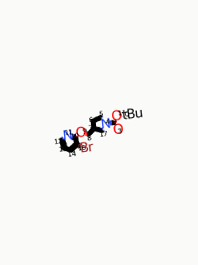 CC(C)(C)OC(=O)N1CCC(COc2ncccc2Br)C1